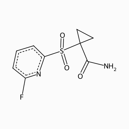 NC(=O)C1(S(=O)(=O)c2cccc(F)n2)CC1